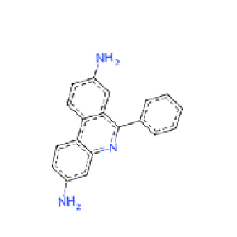 Nc1ccc2c(c1)nc(-c1ccccc1)c1cc(N)ccc12